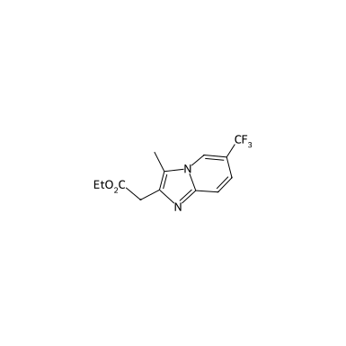 CCOC(=O)Cc1nc2ccc(C(F)(F)F)cn2c1C